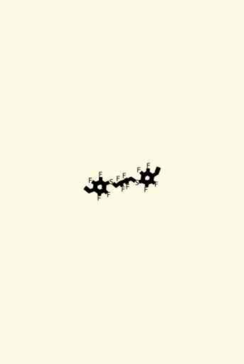 C=Cc1c(F)c(F)c(SCC(F)(F)C(F)(F)CSc2c(F)c(F)c(C=C)c(F)c2F)c(F)c1F